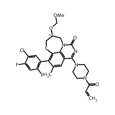 C=CC(=O)N1CCN(c2nc(=O)n3c4c(c(-c5cc(Cl)c(F)cc5F)c(C)cc24)SC[C@@H](OCOC)C3)CC1